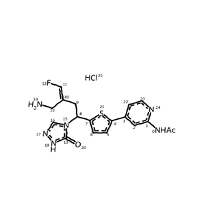 CC(=O)Nc1cc(-c2ccc(C(C/C(=C/F)CN)n3cn[nH]c3=O)s2)ccn1.Cl